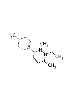 C=C1C=CC(C2=CCC(C)CC2)N(C)N1CC